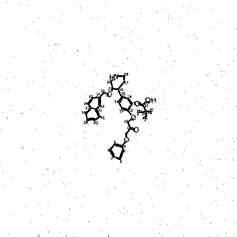 O=C(COc1ccccc1)COc1ccc(C2CCNCC2OCc2ccc3ccccc3c2)cc1.O=C(O)C(F)(F)F